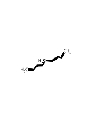 C=CC=C[SiH2]C=CC=C